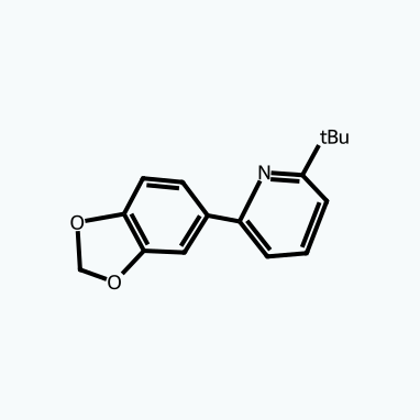 CC(C)(C)c1cccc(-c2ccc3c(c2)OCO3)n1